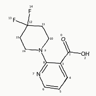 O=C(O)c1cccnc1N1CCC(F)(F)CC1